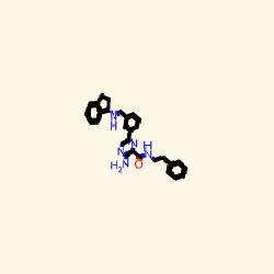 Nc1ncc(-c2cccc(CN[C@H]3CCc4ccccc43)c2)nc1C(=O)NCCc1ccccc1